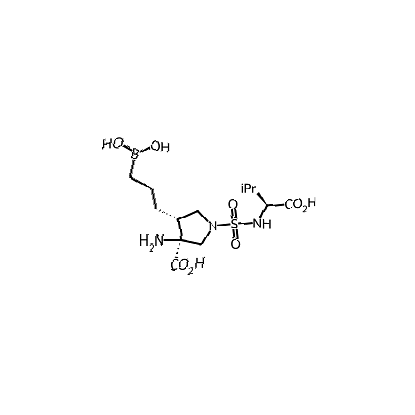 CC(C)[C@H](NS(=O)(=O)N1C[C@@H](CCCB(O)O)[C@@](N)(C(=O)O)C1)C(=O)O